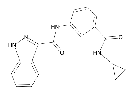 O=C(NC1CC1)c1cccc(NC(=O)c2n[nH]c3ccccc23)c1